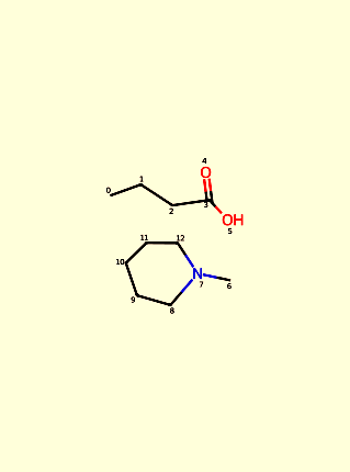 CCCC(=O)O.CN1CCCCC1